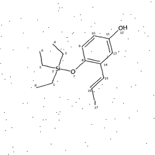 CC[Si](CC)(CC)Oc1ccc(O)cc1C=CI